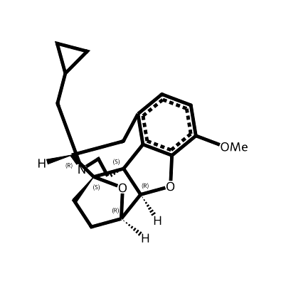 COc1ccc2c3c1O[C@H]1[C@H]4CC[C@@]5(O4)[C@@H](C2)N(CC2CC2)CC[C@]315